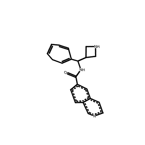 O=C(NC(C1=CCC=CC=C1)C1CNC1)c1ccc2cnccc2c1